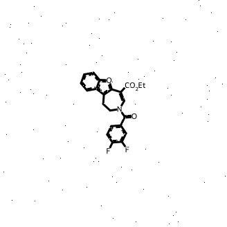 CCOC(=O)C1=CN(C(=O)c2ccc(F)c(F)c2)CCc2c1oc1ccccc21